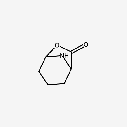 O=C1OC2CCCC1N2